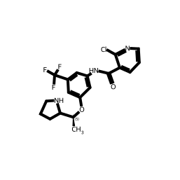 C[C@H](Oc1cc(NC(=O)c2cccnc2Cl)cc(C(F)(F)F)c1)C1CCCN1